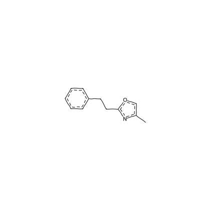 Cc1coc(CCc2ccccc2)n1